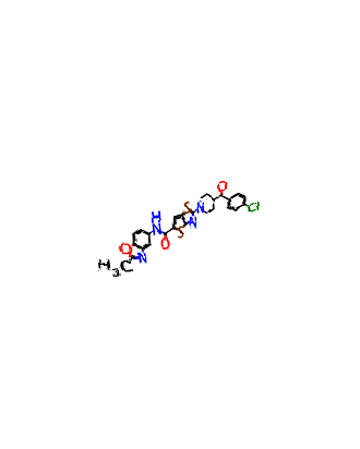 Cc1nc2cc(NC(=O)c3cc4sc(N5CCC(C(=O)c6ccc(Cl)cc6)CC5)nc4s3)ccc2o1